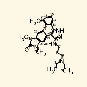 CCN(CC)CCCNc1n[nH]c(-c2cccc(C)c2)c1-c1ccc2c(c1)n(C)c(=O)n2C